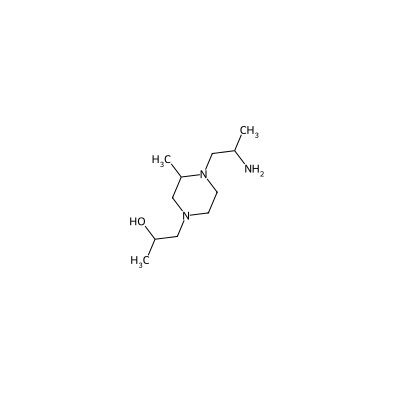 CC(N)CN1CCN(CC(C)O)CC1C